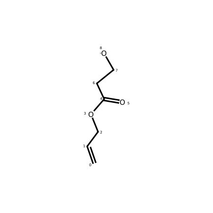 C=CCOC(=O)CC[O]